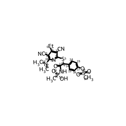 CCc1c(C#N)c(S[C@@H](C(=O)NP(C)(=O)O)c2ccc(OS(C)(=O)=O)cc2)nc(N(C)C)c1C#N